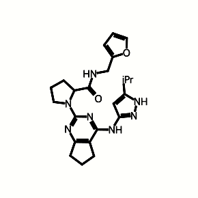 CC(C)c1cc(Nc2nc(N3CCCC3C(=O)NCc3ccco3)nc3c2CCC3)n[nH]1